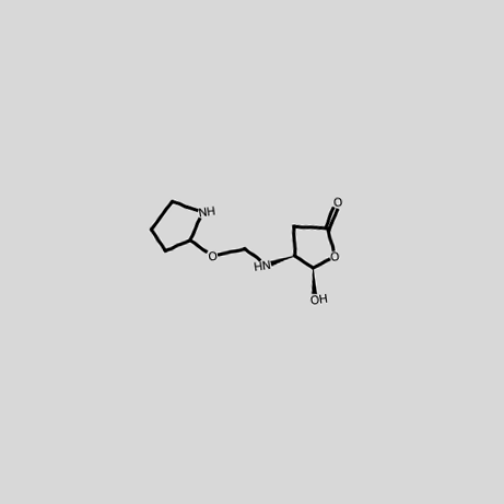 O=C1C[C@H](NCOC2CCCN2)[C@H](O)O1